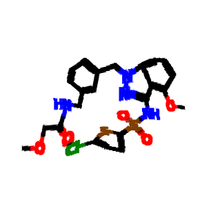 COCC(=O)NCc1cccc(Cn2nc(NS(=O)(=O)c3ccc(Cl)s3)c3c(OC)cccc32)c1